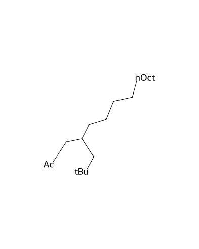 CCCCCCCCCCCCC(CC(C)=O)CC(C)(C)C